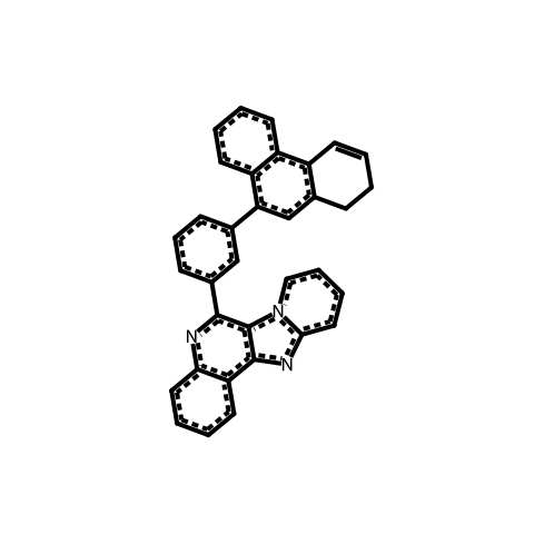 C1=Cc2c(cc(-c3cccc(-c4nc5ccccc5c5nc6ccccn6c45)c3)c3ccccc23)CC1